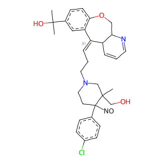 CC(C)(O)c1ccc2c(c1)/C(=C/CCN1CCC(N=O)(c3ccc(Cl)cc3)C(C)(CO)C1)C1C=CC=NC1CO2